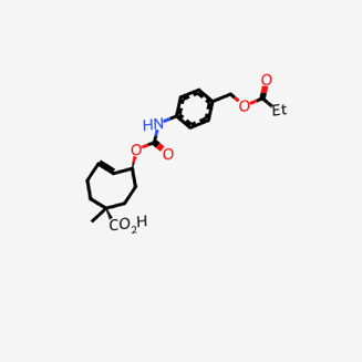 CCC(=O)OCc1ccc(NC(=O)O[C@@H]2/C=C/CC[C@](C)(C(=O)O)CC2)cc1